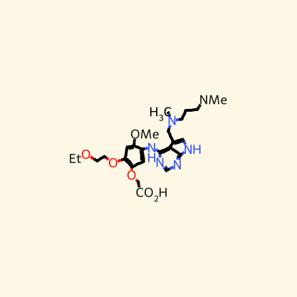 CCOCCOc1cc(OC)c(Nc2ncnc3[nH]cc(CN(C)CCCNC)c23)cc1OCC(=O)O